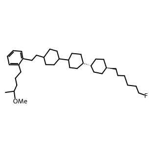 COC(C)CCCc1ccccc1CCC1CCC(C2CCC([C@H]3CC[C@H](CCCCCCF)CC3)CC2)CC1